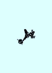 CCc1c(F)ccc2cc(O)cc(-c3c(F)cc4c(N5CC6CCC(C5)N6)nc(OCCCN5C[C@@H](C)O[C@@H](C)C5)nc4c3F)c12